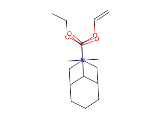 C=COC(=O)N1CC2CCCC(C1)C2C(C)(C)C(=O)OCC